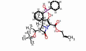 C=CCOC(=O)C1=C(OP(=O)(c2ccccc2)c2ccccc2)[C@H](C)[C@@H]2[C@H](C(C)O[Si](CC)(CC)CC)C(=O)N12